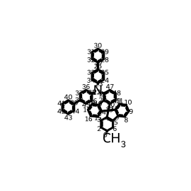 CC1C=CC2=C(C1)c1ccccc1C21c2ccccc2-c2c(N(c3ccc(-c4ccccc4)cc3)c3ccc(-c4ccccc4)cc3)cccc21